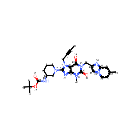 CC#CCn1c(N2CCCC(NC(=O)OC(C)(C)C)C2)nc2c1c(=O)n(Cc1cn3ccc(C)cc3n1)c(=O)n2C